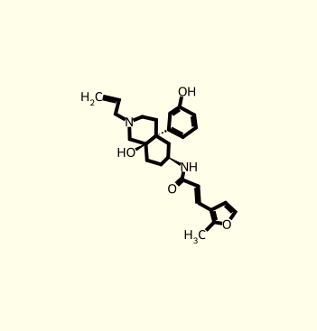 C=CCN1CC[C@@]2(c3cccc(O)c3)C[C@@H](NC(=O)/C=C/c3ccoc3C)CC[C@]2(O)C1